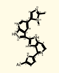 CC(=O)c1ccc(-c2nccc3[nH]c(-c4n[nH]c5ncc(-c6cnc(C)n6C)cc45)nc23)s1